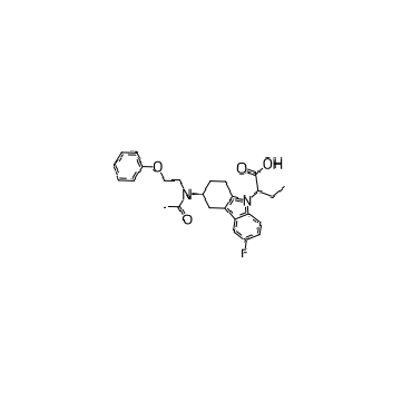 CCC(C(=O)O)n1c2c(c3cc(F)ccc31)C[C@@H](N(CCOc1ccccc1)C(C)=O)CC2